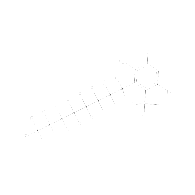 Cc1cc(Br)c(C(F)(F)F)c(C(F)(F)C(F)(F)C(F)(F)C(F)(F)C(F)(F)C(F)(F)C(F)(F)C(F)(F)F)c1Br